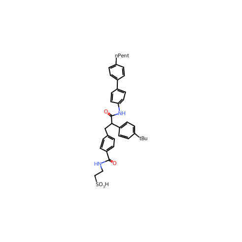 CCCCCc1ccc(-c2ccc(NC(=O)C(Cc3ccc(C(=O)NCCS(=O)(=O)O)cc3)c3ccc(C(C)(C)C)cc3)cc2)cc1